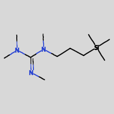 CN=C(N(C)C)N(C)CCC[Si](C)(C)C